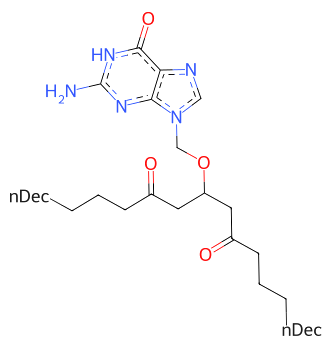 CCCCCCCCCCCCCC(=O)CC(CC(=O)CCCCCCCCCCCCC)OCn1cnc2c(=O)[nH]c(N)nc21